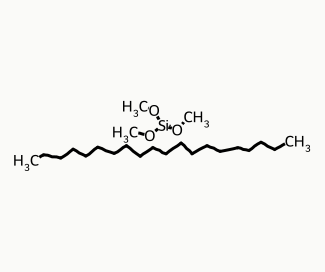 CCCCCCCCCCCCCCCCCCCC.CO[Si](OC)OC